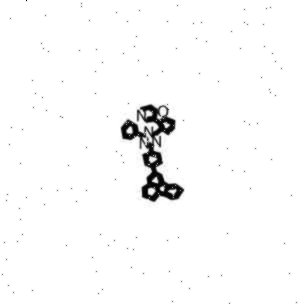 c1ccc(-c2nc(-c3ccc(-c4cc5c6c(cccc6c4)-c4ccccc4-5)cc3)nc(-c3cccc4oc5ccncc5c34)n2)cc1